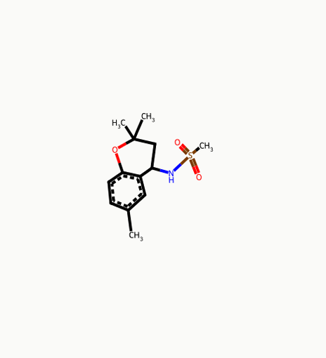 Cc1ccc2c(c1)C(NS(C)(=O)=O)CC(C)(C)O2